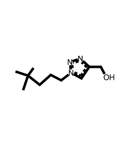 CC(C)(C)CCCn1cc(CO)nn1